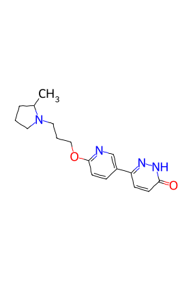 CC1CCCN1CCCOc1ccc(-c2ccc(=O)[nH]n2)cn1